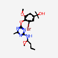 CCCC(Nc1nc(C)nc(Oc2c(Br)cc(C(C)(C)O)cc2OC)n1)OC